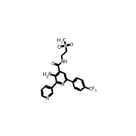 CS(=O)(=O)CCNC(=O)c1cc(-c2ccc(C(F)(F)F)cc2)nc(-c2cccnc2)c1N